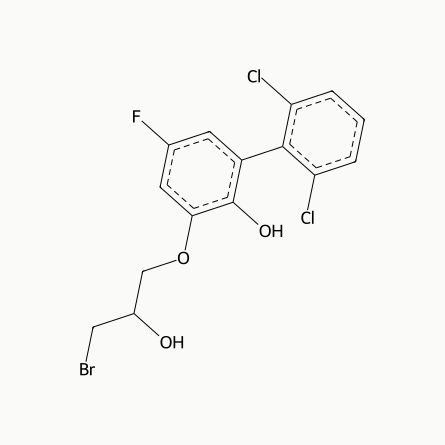 Oc1c(OCC(O)CBr)cc(F)cc1-c1c(Cl)cccc1Cl